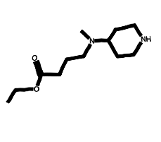 CCOC(=O)CCCN(C)C1CCNCC1